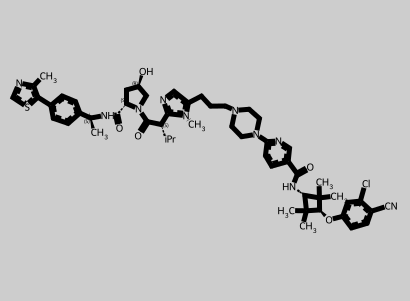 Cc1ncsc1-c1ccc([C@H](C)NC(=O)[C@@H]2C[C@@H](O)CN2C(=O)[C@H](c2ncc(CCCN3CCN(c4ccc(C(=O)N[C@H]5C(C)(C)[C@H](Oc6ccc(C#N)c(Cl)c6)C5(C)C)cn4)CC3)n2C)C(C)C)cc1